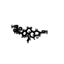 C=CC[C@]12CC[C@]3(C)C[C@H](O)CC3C1CCc1cc(NS(=O)(=O)O)ccc12